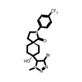 CN1N=NC(Br)C1[C@]1(O)CC[C@]2(CCN(c3ccc(C(F)(F)F)cc3)C2=O)CC1